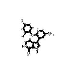 Cn1cc(-c2cc(N)cnc2Oc2ccc(F)cc2F)c2cc[nH]c(=O)c21